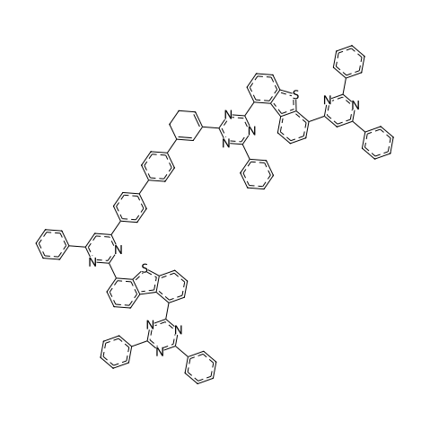 C1=C(c2ccc(-c3ccc(-c4cc(-c5ccccc5)nc(-c5cccc6c5sc5cccc(-c7nc(-c8ccccc8)nc(-c8ccccc8)n7)c56)n4)cc3)cc2)CCC=C1c1nc(-c2ccccc2)nc(-c2cccc3sc4c(-c5cc(-c6ccccc6)nc(-c6ccccc6)n5)cccc4c23)n1